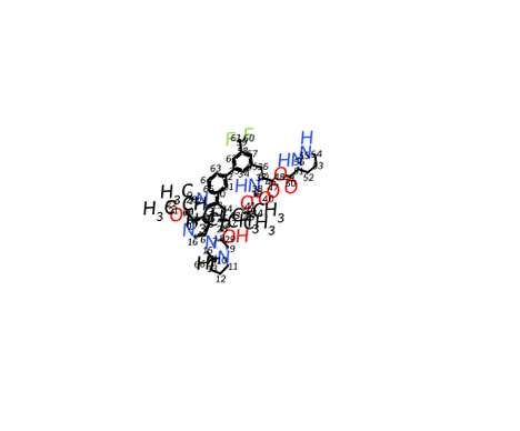 CCn1c(-c2cc(N3CCN4CCC[C@@H]4C3)cnc2[C@H](C)OC)c(CC(C)(C)CO)c2cc(-c3cc(C[C@H](NC(=O)OC(C)(C)C)C(=O)OC(=O)C4CCCNN4)cc(C(F)F)c3)ccc21